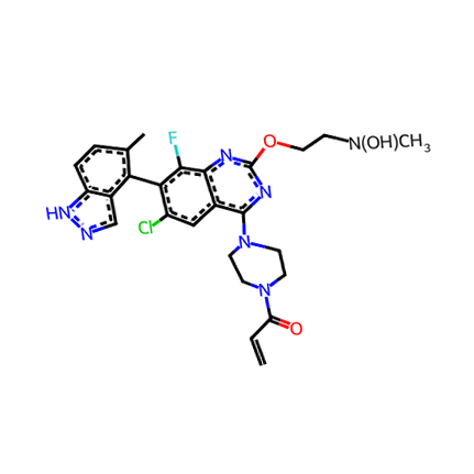 C=CC(=O)N1CCN(c2nc(OCCN(C)O)nc3c(F)c(-c4c(C)ccc5[nH]ncc45)c(Cl)cc23)CC1